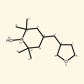 CC1(C)CC(CC2CCOC2)CC(C)(C)N1O